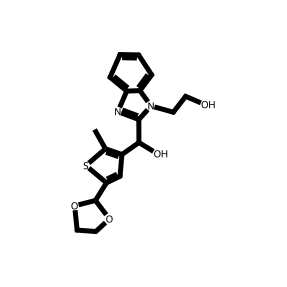 Cc1sc(C2OCCO2)cc1C(O)c1nc2ccccc2n1CCO